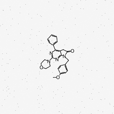 COc1ccc(CN2C(=O)Cc3c(-c4ccccc4)nc(N4CCOCC4)nc32)cc1